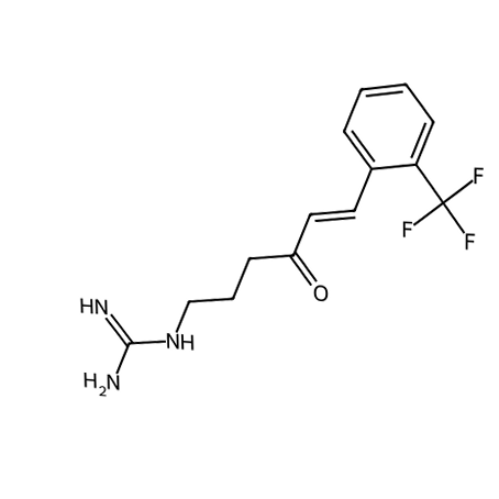 N=C(N)NCCCC(=O)C=Cc1ccccc1C(F)(F)F